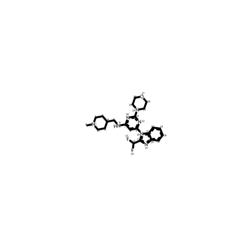 CN1CCC(CNc2cc(-n3c(C(F)F)nc4ccccc43)nc(N3CCOCC3)n2)CC1